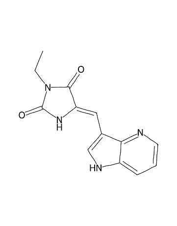 CCN1C(=O)NC(=Cc2c[nH]c3cccnc23)C1=O